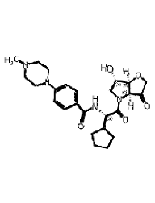 CN1CCN(c2ccc(C(=O)N[C@H](C(=O)N3C[C@H](O)[C@H]4OCC(=O)[C@H]43)C3CCCC3)cc2)CC1